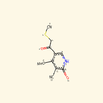 COc1c(C(=O)CSC#N)c[nH]c(=O)c1C#N